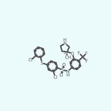 C[C@@]1(Oc2cc(NS(=O)(=O)c3ccc(Sc4ccccc4Cl)cc3Cl)ccc2C(F)(F)F)CCNC1